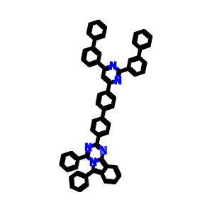 c1ccc(-c2cccc(-c3cc(-c4ccc(-c5ccc(-c6nc(-c7ccccc7)n7c(-c8ccccc8)c8ccccc8c7n6)cc5)cc4)nc(-c4cccc(-c5ccccc5)c4)n3)c2)cc1